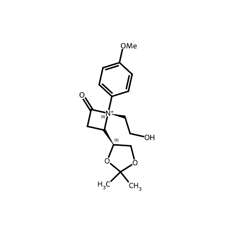 COc1ccc([N@@+]2(CCO)C(=O)CC2[C@H]2COC(C)(C)O2)cc1